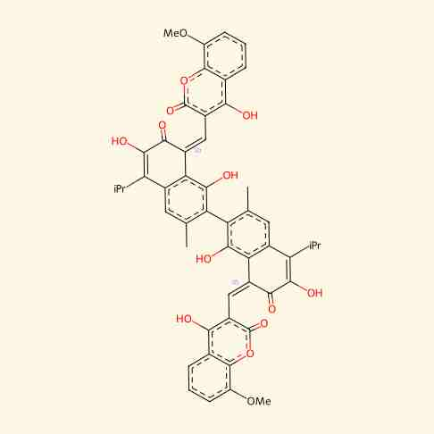 COc1cccc2c(O)c(/C=C3\C(=O)C(O)=C(C(C)C)c4cc(C)c(-c5c(C)cc6c(c5O)/C(=C/c5c(O)c7cccc(OC)c7oc5=O)C(=O)C(O)=C6C(C)C)c(O)c43)c(=O)oc12